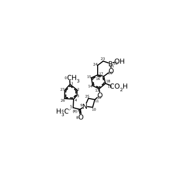 Cc1ccc([C@@H](C)C(=O)N2CC(Oc3ccc4c(c3C(=O)O)OB(O)CC4)C2)cc1